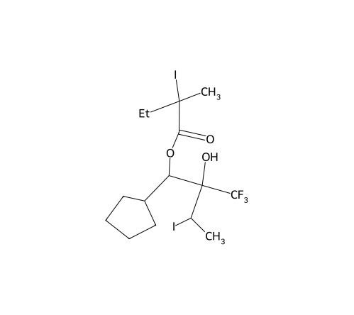 CCC(C)(I)C(=O)OC(C1CCCC1)C(O)(C(C)I)C(F)(F)F